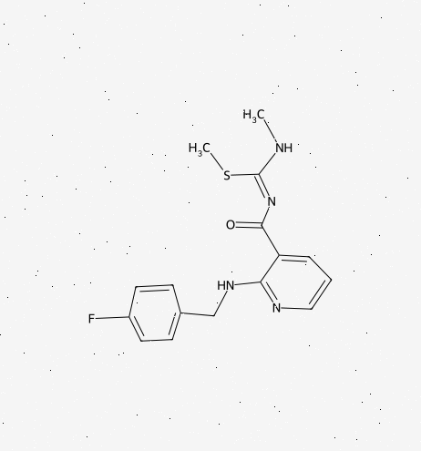 CNC(=NC(=O)c1cccnc1NCc1ccc(F)cc1)SC